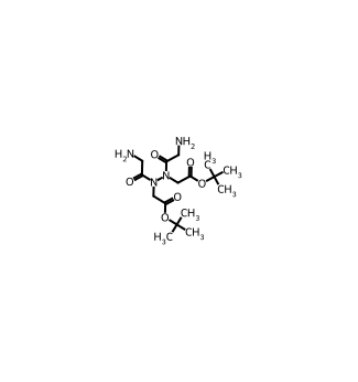 CC(C)(C)OC(=O)CN(C(=O)CN)N(CC(=O)OC(C)(C)C)C(=O)CN